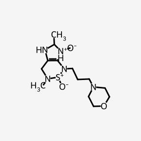 CC1NC2=C(N(CCCN3CCOCC3)[S+]([O-])N(C)C2)[NH+]1[O-]